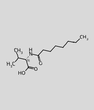 CCCCCCCC(=O)N[C@H](C(=O)O)C(C)C